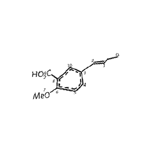 C/C=C/c1ccc(OC)c(C(=O)O)c1